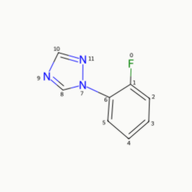 Fc1ccccc1-n1cncn1